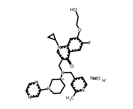 Cc1cc(CN(Cc2cn(C3CC3)c3cc(OCCO)c(F)cc3c2=O)[C@H]2CCCN(c3cnccn3)C2)ccn1.Cl.[H-].[Na+]